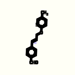 Cc1ccc(OC/C=C/c2ccc(C=O)cc2)nc1